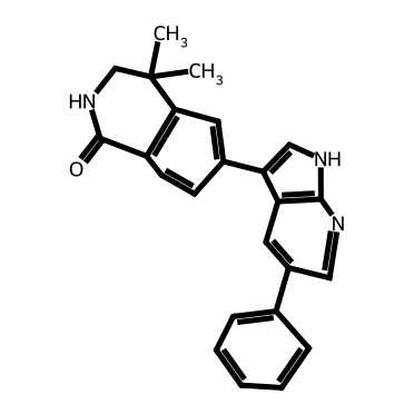 CC1(C)CNC(=O)c2ccc(-c3c[nH]c4ncc(-c5ccccc5)cc34)cc21